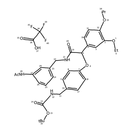 CCOc1cc(C(Oc2ccc(CNC(=O)OC(C)(C)C)cc2)C(=O)NCc2cccc(NC(C)=O)c2)ccc1OC(C)C.O=C(O)C(F)(F)F